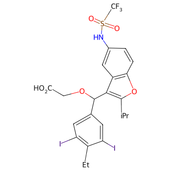 CCc1c(I)cc(C(OCC(=O)O)c2c(C(C)C)oc3ccc(NS(=O)(=O)C(F)(F)F)cc23)cc1I